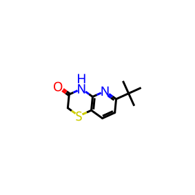 CC(C)(C)c1ccc2c(n1)NC(=O)CS2